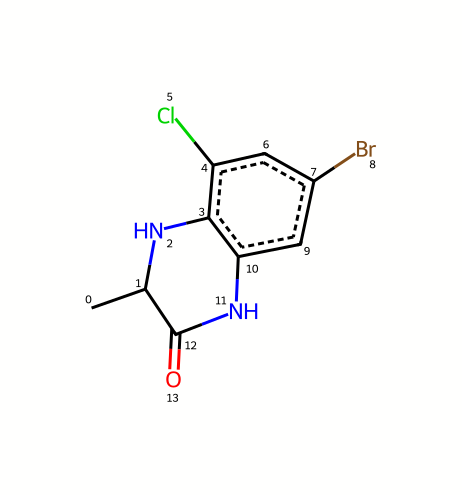 CC1Nc2c(Cl)cc(Br)cc2NC1=O